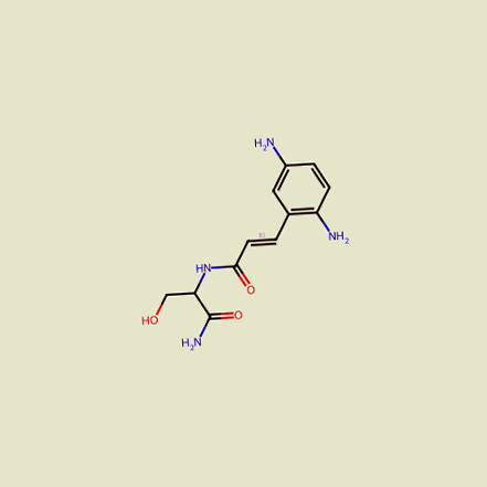 NC(=O)C(CO)NC(=O)/C=C/c1cc(N)ccc1N